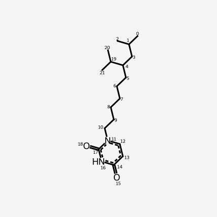 CC(C)CC(CCCCCCn1ccc(=O)[nH]c1=O)C(C)C